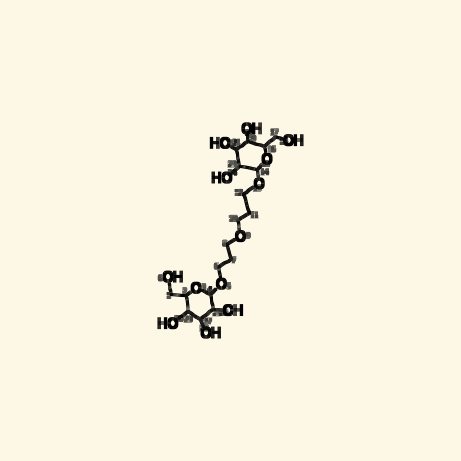 OCC1OC(OCCCOCCCOC2OC(CO)C(O)C(O)C2O)C(O)C(O)C1O